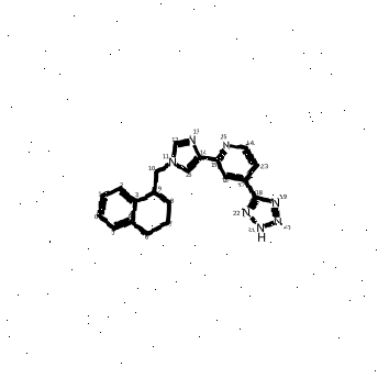 c1ccc2c(c1)CCCC2Cn1cnc(-c2cc(-c3nn[nH]n3)ccn2)c1